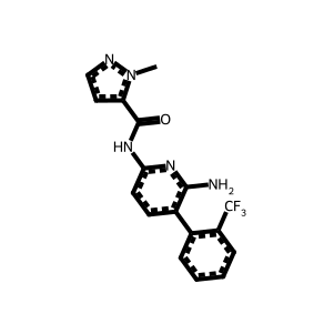 Cn1nccc1C(=O)Nc1ccc(-c2ccccc2C(F)(F)F)c(N)n1